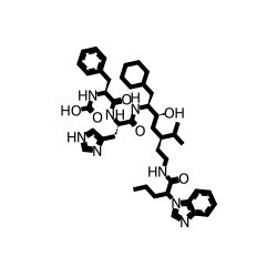 CCCC(C(=O)NCC[C@@H](C[C@@H](O)[C@H](CC1CCCCC1)NC(=O)[C@H](Cc1c[nH]cn1)NC(=O)[C@H](Cc1ccccc1)NC(=O)O)C(C)C)n1cnc2ccccc21